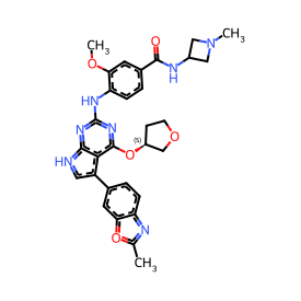 COc1cc(C(=O)NC2CN(C)C2)ccc1Nc1nc(O[C@H]2CCOC2)c2c(-c3ccc4nc(C)oc4c3)c[nH]c2n1